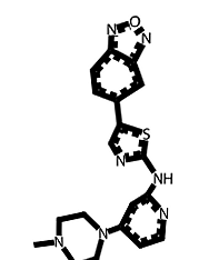 CN1CCN(c2ccnc(Nc3ncc(-c4ccc5nonc5c4)s3)c2)CC1